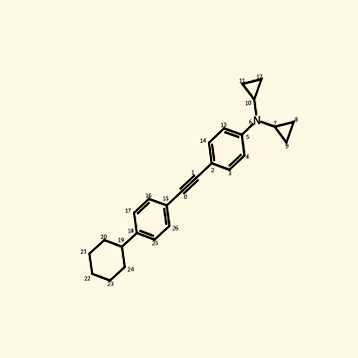 C(#Cc1ccc(N(C2CC2)C2CC2)cc1)c1ccc(C2CCCCC2)cc1